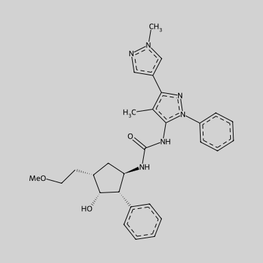 COCC[C@@H]1C[C@@H](NC(=O)Nc2c(C)c(-c3cnn(C)c3)nn2-c2ccccc2)[C@H](c2ccccc2)[C@@H]1O